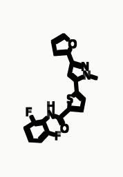 Cn1nc(-c2ccco2)cc1-c1ccc(C(=O)Nc2c(F)cccc2F)s1